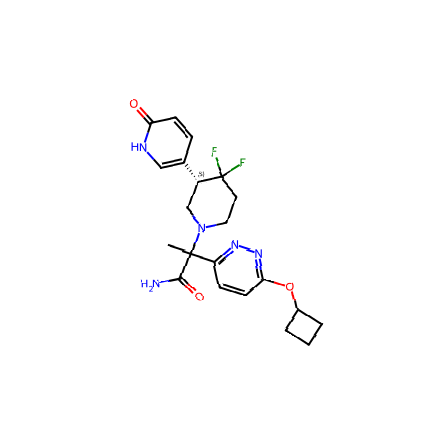 CC(C(N)=O)(c1ccc(OC2CCC2)nn1)N1CCC(F)(F)[C@@H](c2ccc(=O)[nH]c2)C1